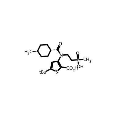 CC(C)(C)c1cc(N(CCP(C)(=O)O)C(=O)[C@H]2CC[C@H](C)CC2)c(C(=O)O)s1